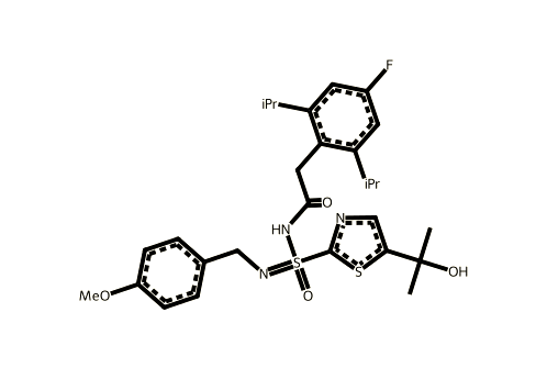 COc1ccc(CN=S(=O)(NC(=O)Cc2c(C(C)C)cc(F)cc2C(C)C)c2ncc(C(C)(C)O)s2)cc1